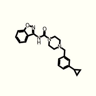 O=C(Nc1noc2ccccc12)N1CCN(Cc2cccc(C3CC3)c2)CC1